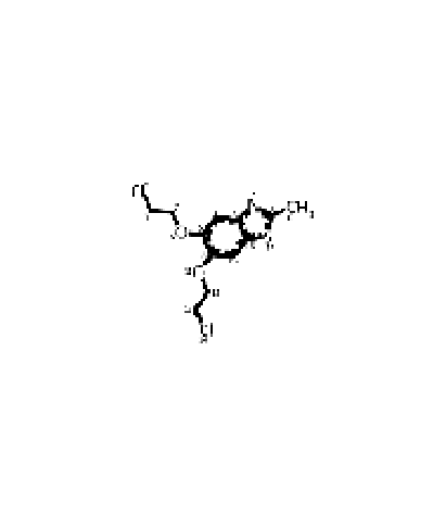 Cc1nc2cc(OCCCl)c(OCCCl)cc2s1